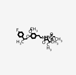 CCS(=O)(=O)NC(C(=O)NCCc1ccc(OCC(C)c2ccc(F)cc2)c(OC)c1)C(C)C